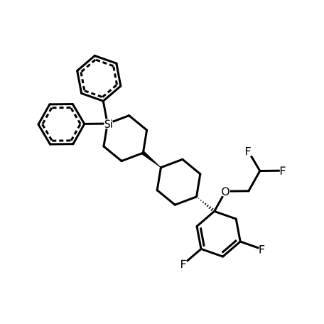 FC1=CC(OCC(F)F)([C@H]2CC[C@H](C3CC[Si](c4ccccc4)(c4ccccc4)CC3)CC2)CC(F)=C1